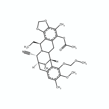 CC[C@H]1c2c(c(OC(C)=O)c(C)c3c2OCO3)CC2[C@@H]3c4c(cc(C)c(OC)c4OCOC)C[C@@H]([C@H](C#N)N21)N3C